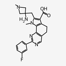 CN1CC(N)(Cc2c(C(=O)O)c3c(n2C)-c2nc(-c4cccc(F)c4)ncc2CC3)C1